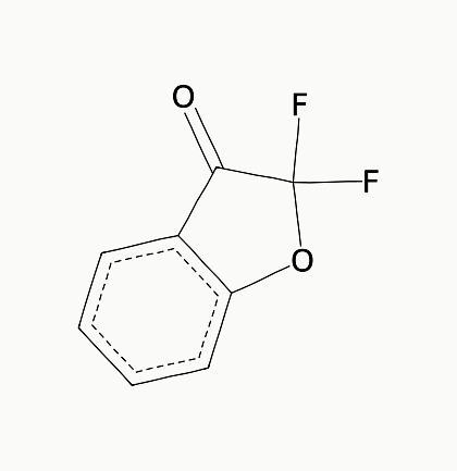 O=C1c2ccccc2OC1(F)F